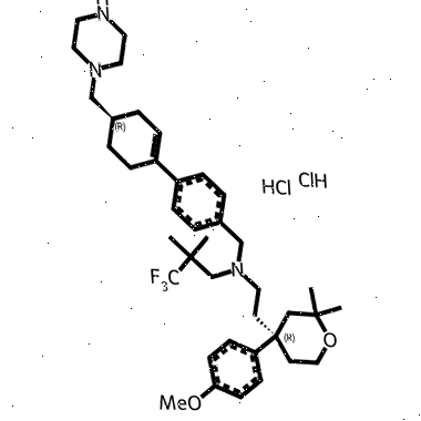 COc1ccc([C@]2(CCN(Cc3ccc(C4=CC[C@H](CN5CCNCC5)CC4)cc3)CC(C)(C)C(F)(F)F)CCOC(C)(C)C2)cc1.Cl.Cl